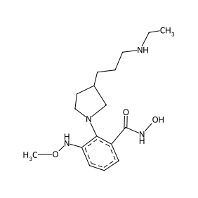 CCNCCCC1CCN(c2c(NOC)cccc2C(=O)NO)C1